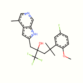 COc1ccc(F)cc1C(C)(C)CC(O)(Cc1cc2c(C)cncc2[nH]1)C(F)(F)F